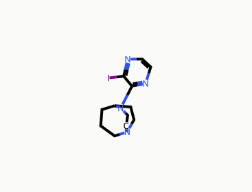 Ic1nccnc1N1CCN2CCCC1CC2